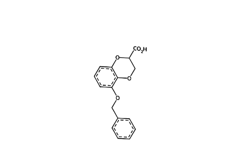 O=C(O)C1COc2c(OCc3ccccc3)cccc2O1